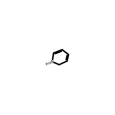 [Ir+2][N]1C=CC=CC1